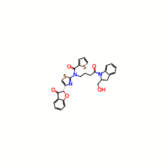 O=C1c2ccccc2O[C@H]1c1csc(N(CCCC(=O)N2c3ccccc3CC2CO)C(=O)c2cccs2)n1